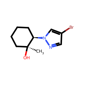 C[C@]1(O)CCCC[C@H]1n1cc(Br)cn1